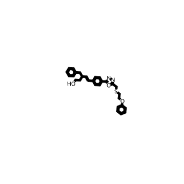 OCCC(/C=C/c1ccc(-c2nnc(CSCCOc3ccccc3)o2)cc1)Cc1ccccc1